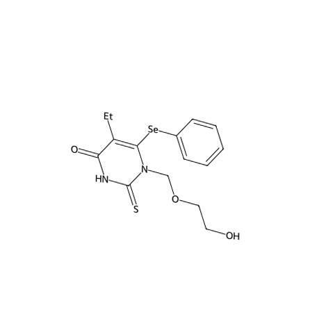 CCc1c([Se]c2ccccc2)n(COCCO)c(=S)[nH]c1=O